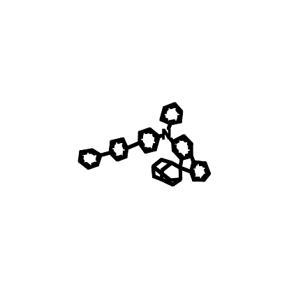 c1ccc(-c2ccc(-c3ccc(N(c4ccccc4)c4ccc5c(c4)C4(c6ccccc6-5)C5CC6CC(C5)CC4C6)cc3)cc2)cc1